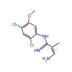 COc1cc(NC(=N)/C(C)=C\N)c(Cl)cc1Cl